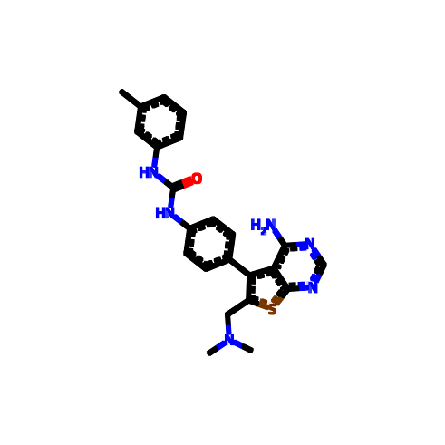 Cc1cccc(NC(=O)Nc2ccc(-c3c(CN(C)C)sc4ncnc(N)c34)cc2)c1